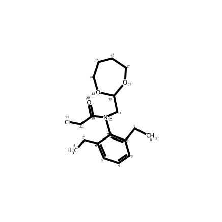 CCc1cccc(CC)c1N(CC1OCCCCO1)C(=O)CCl